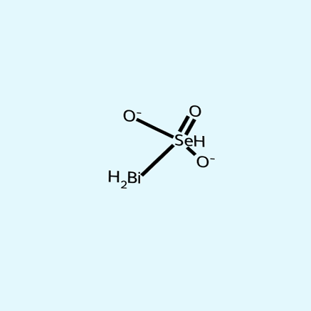 O=[SeH]([O-])([O-])[BiH2]